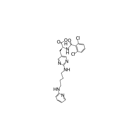 O=C(N[C@@H](Cc1cnc(NCCCCNc2ccccn2)nc1)C(=O)O)c1c(Cl)cccc1Cl